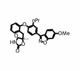 CCCc1cc(-c2noc3cc(OC)ccc23)ccc1Oc1ccccc1C[C@@]1(C)OC(=O)NC1=O